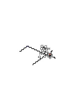 C=CCOP(=O)(OCC=C)O[C@H]1[C@H](OCC[C@@H](CCCCCCC)OC)[C@@H](NC(=O)CCCCCCCCC/C=C\CCCCCC)[C@@H](OC(=N)C(Cl)(Cl)Cl)O[C@@H]1COC